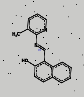 Cc1cccnc1/N=C/c1c(O)ccc2ccccc12